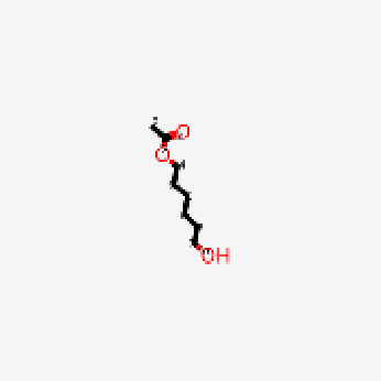 CC(=O)OC[CH]CCCCO